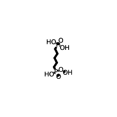 O=P(O)(O)CCCCCP(=O)(O)OO